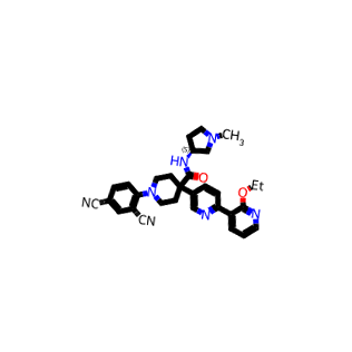 CCOc1ncccc1-c1ccc(C2(C(=O)N[C@H]3CCN(C)C3)CCN(c3ccc(C#N)cc3C#N)CC2)cn1